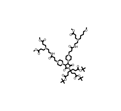 COCCCCN(CCNC(=O)CCN1CCN(C2C(=O)N(C(CCC(=O)OC(C)(C)C)(CCC(=O)OC(C)(C)C)CCC(=O)OC(C)(C)C)C(=O)C2N2CCN(CCC(=O)NCCN(CCC(=O)OC)CCC(=O)OC)CC2)CC1)CCC(=O)OC